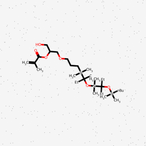 C=C(C)C(=O)OC(CO)COCCC[Si](C)(C)C(C)(CC)O[Si](C)(C)C(CC)(CC)O[Si](C)(C)CCCC